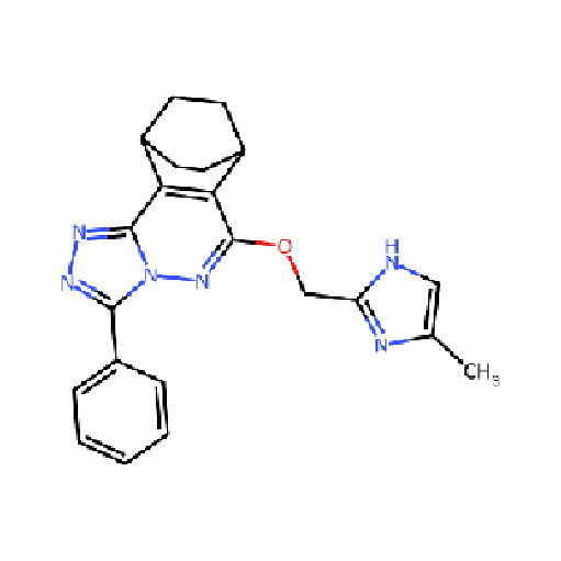 Cc1c[nH]c(COc2nn3c(-c4ccccc4)nnc3c3c2C2CCC3CC2)n1